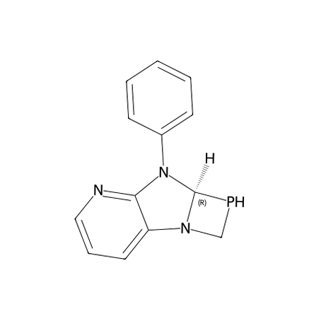 c1ccc(N2c3ncccc3N3CP[C@@H]32)cc1